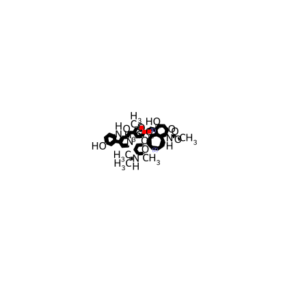 COC(=O)NC1=C2C#C/C=C\C#C[C@H](OC3OC(C)C(C(=O)c4nccc5c4[nH]c4ccc(O)cc45)CC3OC3CCC(NC(C)C)C(C)O3)C2/C(=C\CS(C)=S)[C@@H](O)CC1=O